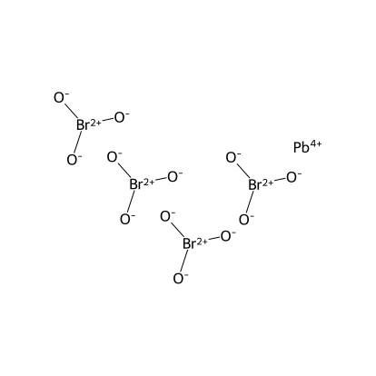 [O-][Br+2]([O-])[O-].[O-][Br+2]([O-])[O-].[O-][Br+2]([O-])[O-].[O-][Br+2]([O-])[O-].[Pb+4]